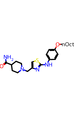 CCCCCCCCOc1ccc(Nc2nc(CN3CCC(C(N)=O)CC3)cs2)cc1